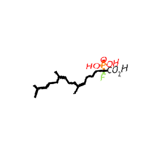 CC(C)=CCCC(C)=CCCC(C)=CCCCC(F)(C(=O)O)P(=O)(O)O